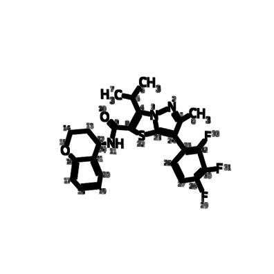 Cc1nn2c(C(C)C)c(C(=O)N[C@H]3CCOc4ccccc43)sc2c1-c1ccc(F)c(F)c1F